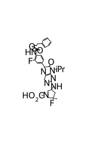 CC(C)n1c(=O)c(-c2ccc(NS(=O)(=O)Cc3ccccc3)c(F)c2)nc2cnc(N[C@@H]3CN(C(=O)O)C[C@@](C)(F)C3)nc21